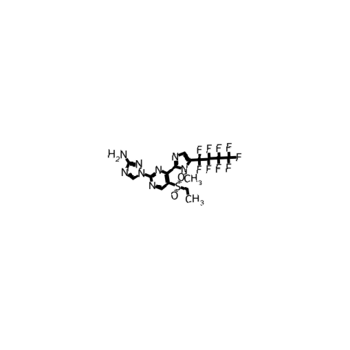 CCS(=O)(=O)c1cnc(-n2cnc(N)n2)nc1-c1ncc(C(F)(F)C(F)(F)C(F)(F)C(F)(F)F)n1C